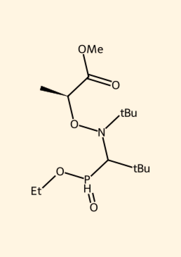 CCO[PH](=O)C(N(O[C@@H](C)C(=O)OC)C(C)(C)C)C(C)(C)C